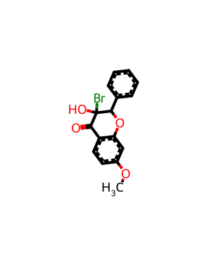 COc1ccc2c(c1)OC(c1ccccc1)C(O)(Br)C2=O